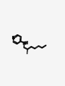 CCCCCC(C)CNc1ccncc1